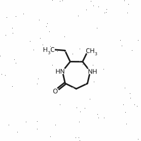 CCC1NC(=O)CCNC1C